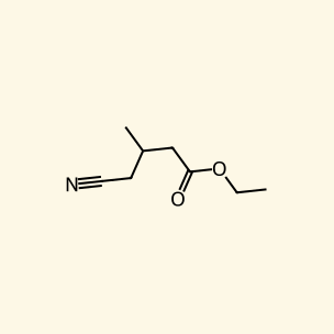 CCOC(=O)CC(C)CC#N